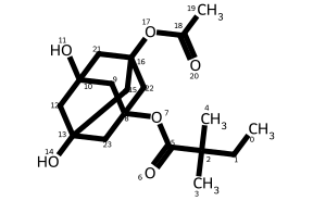 CCC(C)(C)C(=O)OC12CC3(O)CC(O)(CC(OC(C)=O)(C3)C1)C2